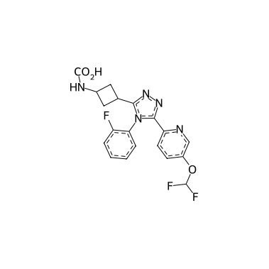 O=C(O)NC1CC(c2nnc(-c3ccc(OC(F)F)cn3)n2-c2ccccc2F)C1